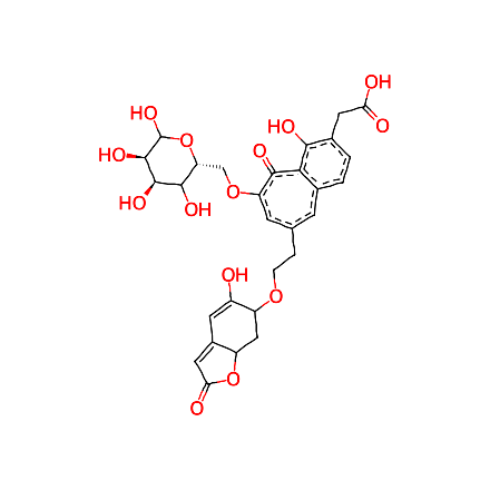 O=C(O)Cc1ccc2cc(CCOC3CC4OC(=O)C=C4C=C3O)cc(OC[C@H]3OC(O)[C@H](O)[C@H](O)C3O)c(=O)c2c1O